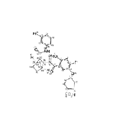 COc1cc(F)c(O[C@H]2CC[C@@H](C(=O)O)CC2)cc1C(=O)N[C@@H]1[C@H]2CC[C@H](C2)[C@@H]1C(=O)Nc1cccc(C(C)C)c1